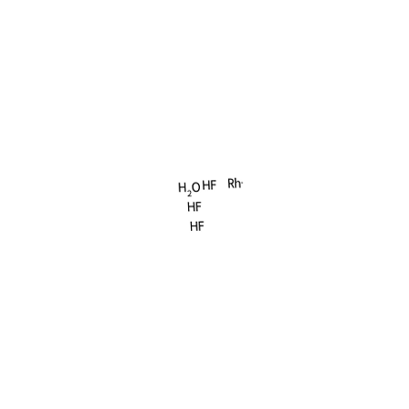 F.F.F.O.[Rh]